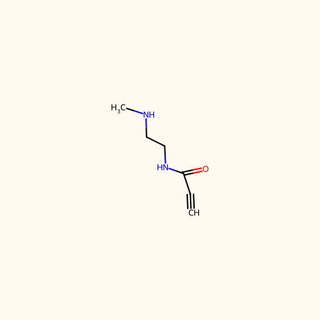 C#CC(=O)NCCNC